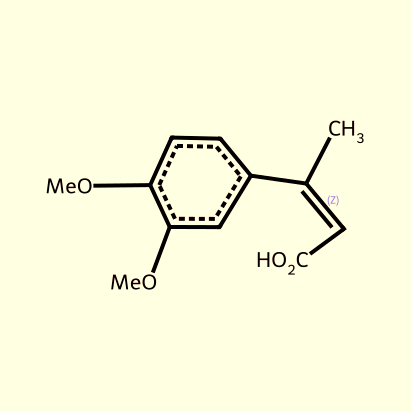 COc1ccc(/C(C)=C\C(=O)O)cc1OC